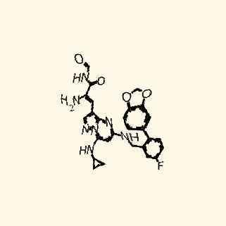 N/C(=C\c1cnn2c(NC3CC3)cc(NCc3cc(F)ccc3-c3ccc4c(c3)OCO4)nc12)C(=O)NC=O